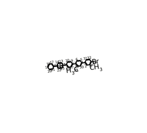 Cc1cc(-c2ccc(-c3ccc(C45CCC(c6ccccc6)(CC4)CC5)cc3)c(C)c2)ccc1Br